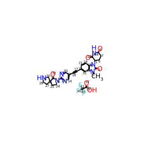 Cn1c(=O)n(C2CCC(=O)NC2=O)c2ccc(C#Cc3cnc(N4CCC5(CCNC5)C4=O)nc3)cc21.O=C(O)C(F)(F)F